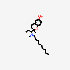 CCCCCCCCCN(C)C(CC)C1(C)CCc2cc(O)ccc2O1